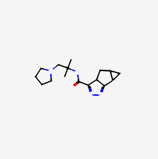 CC(C)(CN1CCCC1)NC(=O)C1=NN=C2C1CC1CC21